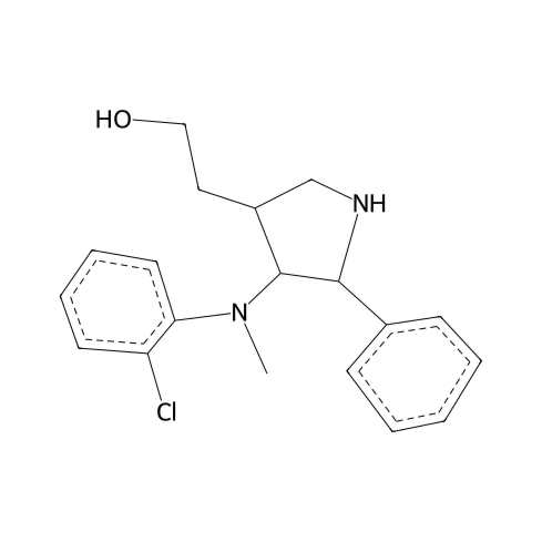 CN(c1ccccc1Cl)C1C(CCO)CNC1c1ccccc1